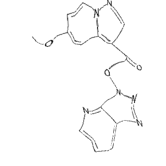 COc1ccn2ncc(C(=O)On3nnc4cccnc43)c2c1